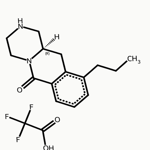 CCCc1cccc2c1C[C@@H]1CNCCN1C2=O.O=C(O)C(F)(F)F